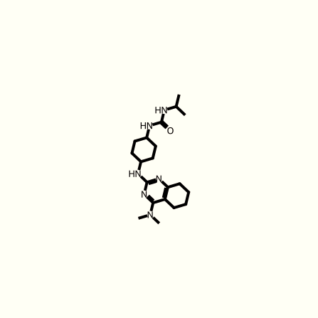 CC(C)NC(=O)NC1CCC(Nc2nc3c(c(N(C)C)n2)CCCC3)CC1